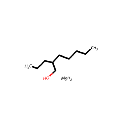 CCCCCC(CO)CCC.[MgH2]